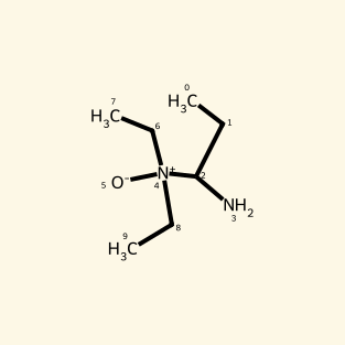 CCC(N)[N+]([O-])(CC)CC